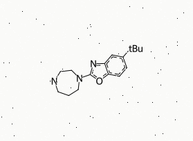 CC(C)(C)c1ccc2oc(N3CCC[N]CC3)nc2c1